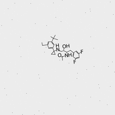 CCc1cc(C(C)(C)C)cc(C2(NCC(O)C(Cc3cc(F)cc(F)c3)NC(C)=O)CC2)c1